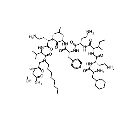 CCCCCCCCN(CC(=O)N[C@@H](CO)C(N)=O)C(=O)[C@H](NC(=O)[C@H](CCN)NC(=O)[C@H](CC(C)C)NC(=O)[C@@H](Cc1ccccc1)NC(=O)[C@H](CCN)NC(=O)[C@@H](NC(=O)[C@H](CCN)NC(=O)C(N)CC1CCCCC1)C(C)CC)C(C)C